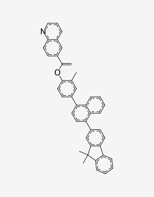 C=C(Oc1ccc(-c2ccc(-c3ccc4c(c3)C(C)(C)c3ccccc3-4)c3ccccc23)cc1C)c1ccc2ncccc2c1